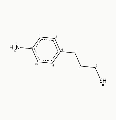 Nc1ccc(CCCS)cc1